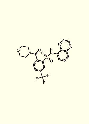 O=C(c1ccc(C(F)(F)F)cc1S(=O)(=O)Nc1cccc2nccnc12)N1CCOCC1